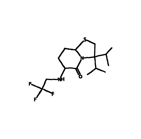 CC(C)C1(C(C)C)CSC2CCC(NCC(F)(F)F)C(=O)N21